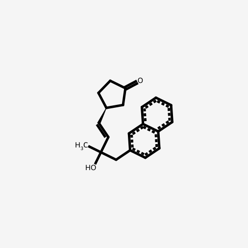 CC(O)(/C=C/[C@H]1CCC(=O)C1)Cc1ccc2ccccc2c1